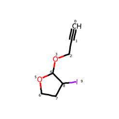 C#CCOC1OCCC1I